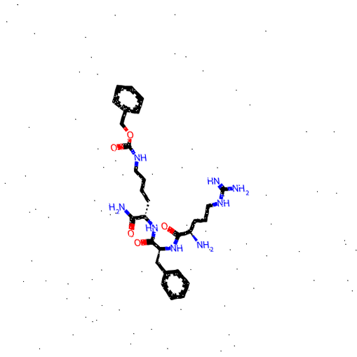 N=C(N)NCCC[C@@H](N)C(=O)N[C@@H](Cc1ccccc1)C(=O)N[C@@H](CCCCNC(=O)OCc1ccccc1)C(N)=O